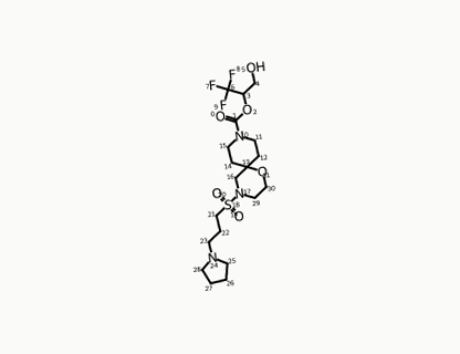 O=C(OC(CO)C(F)(F)F)N1CCC2(CC1)CN(S(=O)(=O)CCCN1CCCC1)CCO2